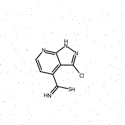 N=C(S)c1ccnc2[nH]nc(Cl)c12